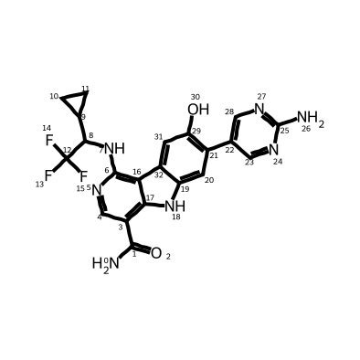 NC(=O)c1cnc(NC(C2CC2)C(F)(F)F)c2c1[nH]c1cc(-c3cnc(N)nc3)c(O)cc12